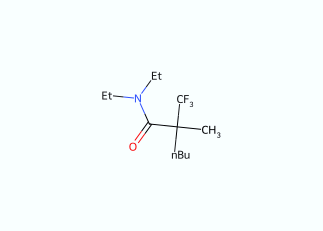 CCCCC(C)(C(=O)N(CC)CC)C(F)(F)F